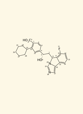 O=C(O)c1ccc([C@@H](O)CC2c3c(F)cccc3-c3cncn32)cc1C1CCCCC1